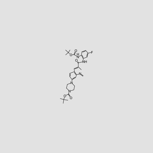 C=Nc1cc(N2CCN(C(=O)OC(C)(C)C)CC2)ccc1/C=C(\C)C(=O)Nc1cc(F)ccc1NC(=O)OC(C)(C)C